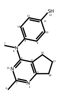 Cc1nc2c(c(N(C)c3ccc(S)cc3)n1)CCC2